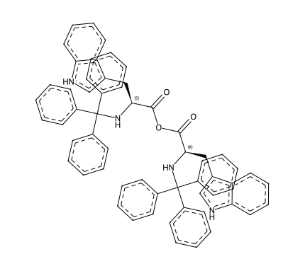 O=C(OC(=O)[C@@H](Cc1c[nH]c2ccccc12)NC(c1ccccc1)(c1ccccc1)c1ccccc1)[C@H](Cc1c[nH]c2ccccc12)NC(c1ccccc1)(c1ccccc1)c1ccccc1